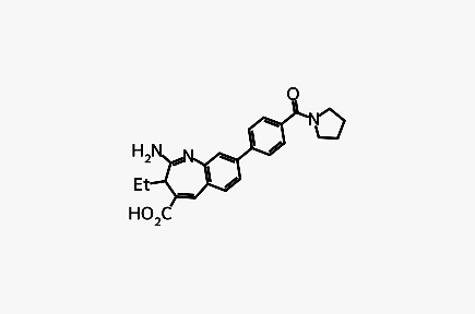 CCC1C(C(=O)O)=Cc2ccc(-c3ccc(C(=O)N4CCCC4)cc3)cc2N=C1N